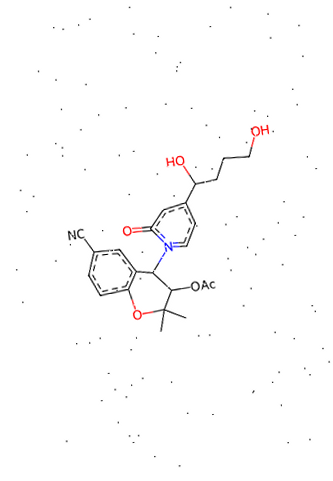 CC(=O)OC1C(n2ccc(C(O)CCCO)cc2=O)c2cc(C#N)ccc2OC1(C)C